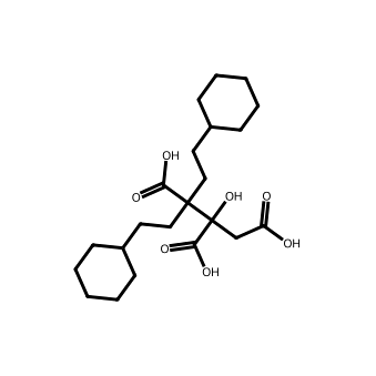 O=C(O)CC(O)(C(=O)O)C(CCC1CCCCC1)(CCC1CCCCC1)C(=O)O